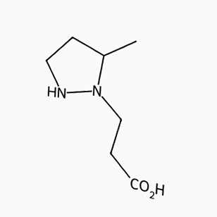 CC1CCNN1CCC(=O)O